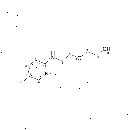 Cc1ccc(NCCOCCO)nc1